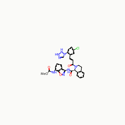 COC(=O)Nc1cccc2c(NC(=O)[C@@H]3c4ccccc4CCN3C(=O)/C=C/c3cc(Cl)ccc3N3C=NNN3)noc12